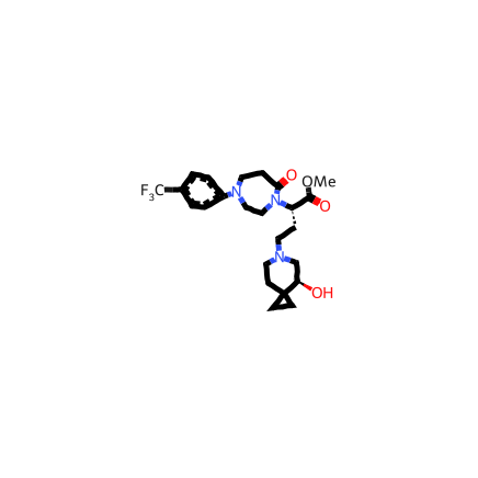 COC(=O)[C@H](CCN1CCC2(CC2)[C@H](O)C1)N1CCN(c2ccc(C(F)(F)F)cc2)CCC1=O